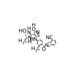 Cc1cc(Nc2snc(O)c2C(=N)NC(C)CCO)ccc1C(=O)N1Cc2cccc(C#N)c2C1